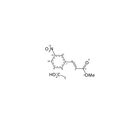 CC(=O)O.COC(=O)C=Cc1cccc([N+](=O)[O-])c1